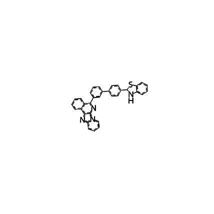 c1cc(-c2ccc(C3Nc4ccccc4S3)cc2)cc(-c2nc3c(nc4ccccn43)c3ccccc23)c1